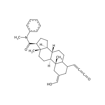 CN(C(=O)[C@H]1CC[C@H]2[C@@H]3CCC4C(C=C=C=O)CC(=CO)C[C@]4(C)[C@H]3CC[C@]12C)c1ccccc1